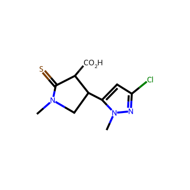 CN1CC(c2cc(Cl)nn2C)C(C(=O)O)C1=S